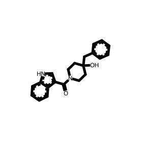 O=C(c1c[nH]c2ccccc12)N1CCC(O)(Cc2ccccc2)CC1